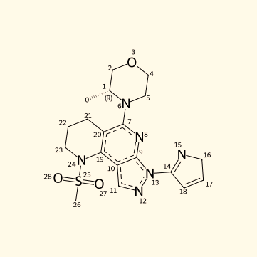 C[C@@H]1COCCN1c1nc2c(cnn2C2=NCC=C2)c2c1CCCN2S(C)(=O)=O